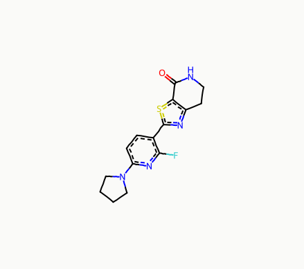 O=C1NCCc2nc(-c3ccc(N4CCCC4)nc3F)sc21